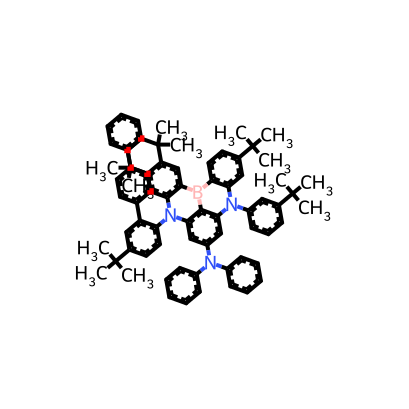 CC(C)(C)c1cccc(N2c3cc(C(C)(C)C)ccc3B3c4cc5c(cc4N(c4ccc(C(C)(C)C)cc4-c4ccc(-c6ccccc6)cc4)c4cc(N(c6ccccc6)c6ccccc6)cc2c43)C(C)(C)CCC5(C)C)c1